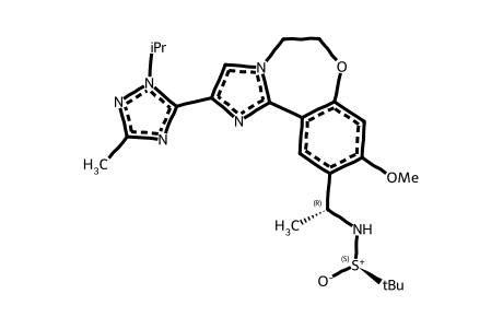 COc1cc2c(cc1[C@@H](C)N[S@+]([O-])C(C)(C)C)-c1nc(-c3nc(C)nn3C(C)C)cn1CCO2